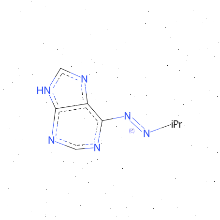 CC(C)/N=N/c1ncnc2[nH]cnc12